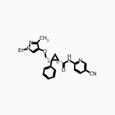 CCn1cc(OC[C@]2(c3ccccc3)C[C@@H]2C(=O)Nc2ccc(C#N)cn2)c(C)n1